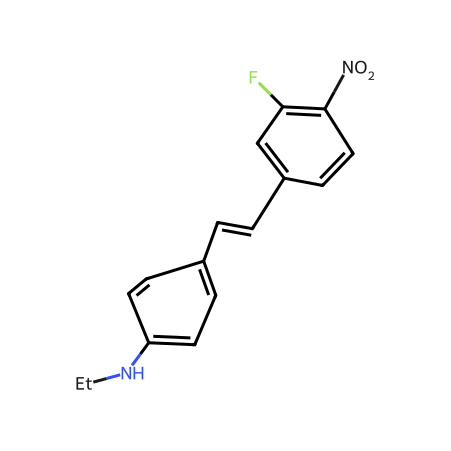 CCNc1ccc(C=Cc2ccc([N+](=O)[O-])c(F)c2)cc1